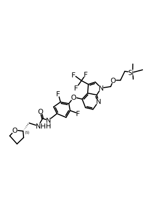 C[Si](C)(C)CCOCn1cc(C(F)(F)F)c2c(Oc3c(F)cc(NC(=O)NC[C@@H]4CCCO4)cc3F)ccnc21